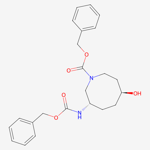 O=C(N[C@H]1CC[C@H](O)CCN(C(=O)OCc2ccccc2)C1)OCc1ccccc1